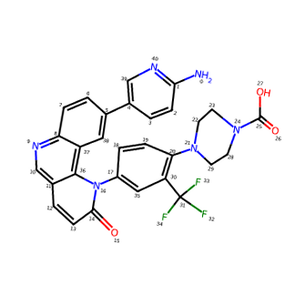 Nc1ccc(-c2ccc3ncc4ccc(=O)n(-c5ccc(N6CCN(C(=O)O)CC6)c(C(F)(F)F)c5)c4c3c2)cn1